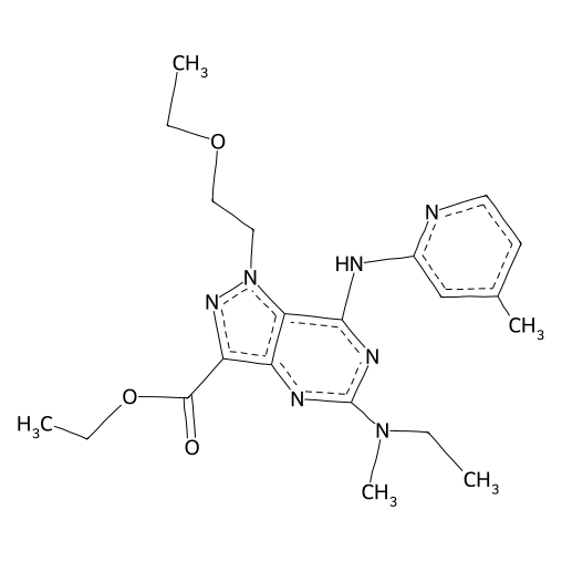 CCOCCn1nc(C(=O)OCC)c2nc(N(C)CC)nc(Nc3cc(C)ccn3)c21